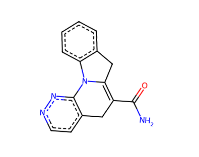 NC(=O)C1=C2Cc3ccccc3N2c2nnccc2C1